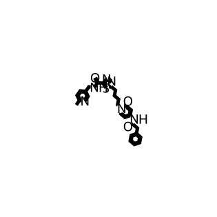 Cc1ccc(CNC(=O)c2nnc(CCCCn3ccc(NC(=O)Cc4ccccc4)cc3=O)s2)cn1